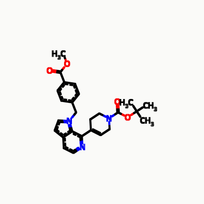 COC(=O)c1ccc(Cn2ccc3ccnc(C4=CCN(C(=O)OC(C)(C)C)CC4)c32)cc1